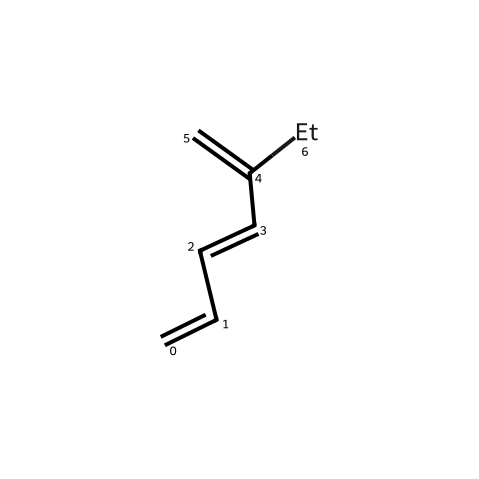 C=CC=CC(=C)CC